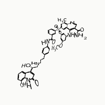 COc1cccc(Nc2c(C(N)=O)cnc3c(C)cc(S(=O)(=O)c4cccc(C(=O)Nc5ccc(CCCNC[C@H](O)c6cc(=O)[nH]c7c(O)cccc67)cc5)c4)cc23)c1